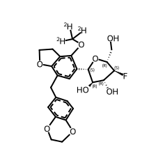 [2H]C([2H])([2H])Oc1c([C@@H]2O[C@H](CO)[C@@H](F)[C@H](O)[C@H]2O)cc(Cc2ccc3c(c2)OCCO3)c2c1CCO2